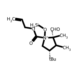 C=CCOC(=O)[N+]1(O[SiH3])C[C@@H](C(C)(C)C)C(C)[C@@]1(C)C=O